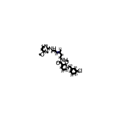 COc1ccnc(NCC/C=C(\C)CCNC(=O)c2cccn(Cc3cccc(Cl)c3)c2=O)n1